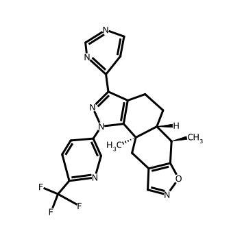 C[C@H]1c2oncc2C[C@@]2(C)c3c(c(-c4ccncn4)nn3-c3ccc(C(F)(F)F)nc3)CC[C@H]12